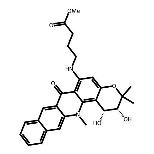 COC(=O)CCCNc1cc2c(c3c1c(=O)c1cc4ccccc4cc1n3C)[C@@H](O)[C@@H](O)C(C)(C)O2